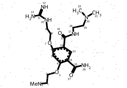 CNCCOc1cc(OCCNC(=N)N)c(C(=O)NCCN(C)C)cc1C(N)=O